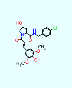 COc1cc(/C=C/C(=O)N2C[C@H](O)C[C@H]2C(=O)NCc2ccc(Cl)cc2)cc(OC)c1O